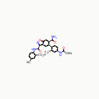 COC(=O)Nc1ccc(-c2cc3c(C(=O)Nc4ccc(C#N)cc4C(=O)O)noc3cc2C(N)=O)c(C(F)(F)F)c1